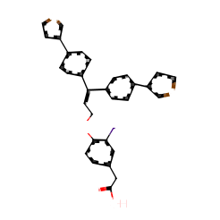 O=C(O)Cc1ccc(OCC=C(c2ccc(-c3ccsc3)cc2)c2ccc(-c3ccsc3)cc2)c(I)c1